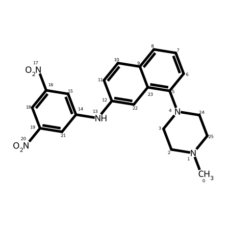 CN1CCN(c2cccc3ccc(Nc4cc([N+](=O)[O-])cc([N+](=O)[O-])c4)cc23)CC1